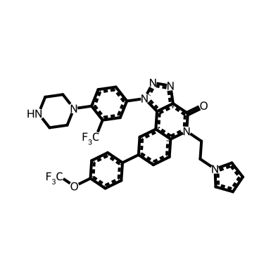 O=c1c2nnn(-c3ccc(N4CCNCC4)c(C(F)(F)F)c3)c2c2cc(-c3ccc(OC(F)(F)F)cc3)ccc2n1CCn1cccc1